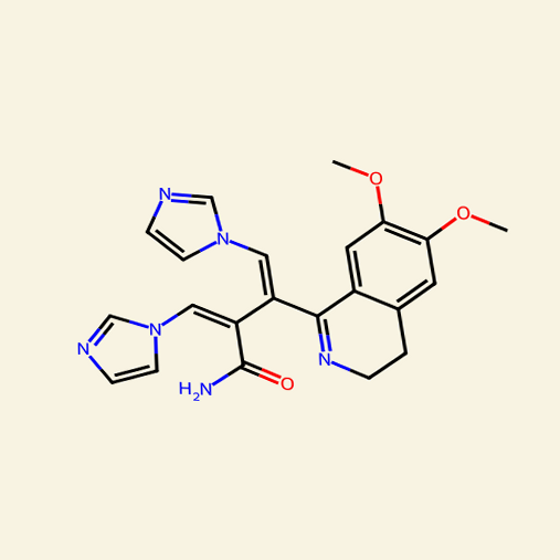 COc1cc2c(cc1OC)C(C(=Cn1ccnc1)C(=Cn1ccnc1)C(N)=O)=NCC2